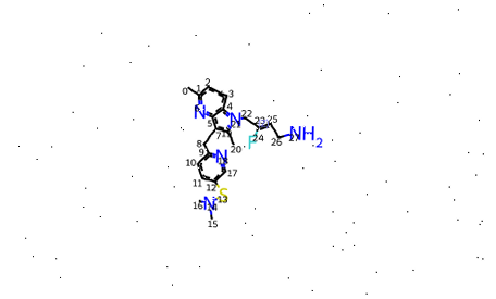 Cc1ccc2c(n1)c(Cc1ccc(SN(C)C)cn1)c(C)n2C/C(F)=C/CN